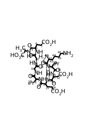 CC(NC(=O)C(CCC(=O)O)NC(=O)CNC(=O)CNC(=O)C(NC(=O)C(CCC(=O)O)NC(=O)C(CC(=O)O)NC(=O)C(NC(=O)C(N)CCCCN)C(C)C)C(C)C)C(=O)O